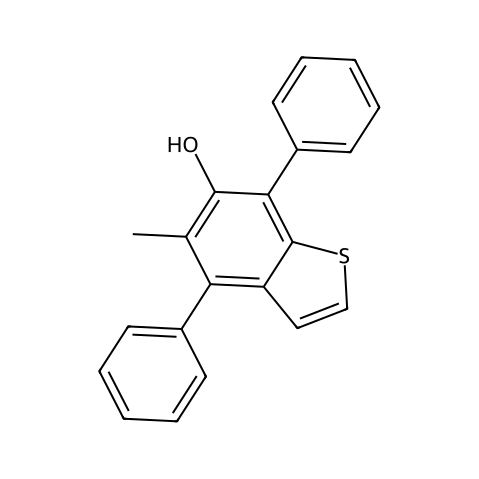 Cc1c(O)c(-c2ccccc2)c2sccc2c1-c1ccccc1